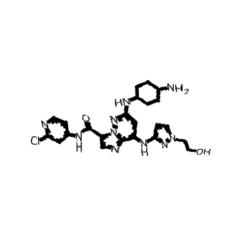 NC1CCC(Nc2cc(Nc3ccn(CCO)n3)c3ncc(C(=O)Nc4ccnc(Cl)c4)n3n2)CC1